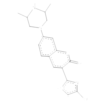 CC1CN(c2ccc3cc(-c4nc(C(F)(F)F)cs4)c(=O)oc3c2)CC(C)N1